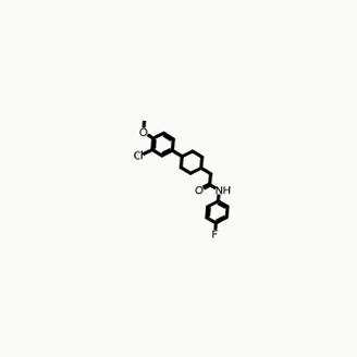 COc1ccc(C2CCC(CC(=O)Nc3ccc(F)cc3)CC2)cc1Cl